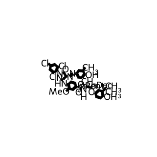 CCCCCCCCCCC(CNS(=O)(=O)c1ccc(NC2=NN(c3c(Cl)cc(Cl)cc3Cl)C(=O)C2N=Nc2cc(C)c(O)c(C)c2)c(OC)c1)Oc1ccc(O)c(C(C)(C)CCCCC)c1